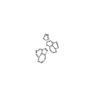 C1=Cc2cccc3cccc1c23.C1=Cc2cccc3cccc1c23.c1ccsc1